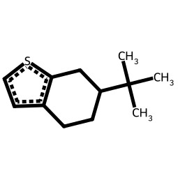 CC(C)(C)C1CCc2ccsc2C1